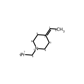 CC=C1CCN(C[C](C)C)CC1